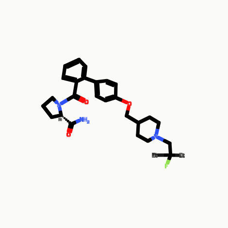 CCC(F)(CC)CN1CCC(COc2ccc(-c3ccccc3C(=O)N3CCC[C@H]3C(N)=O)cc2)CC1